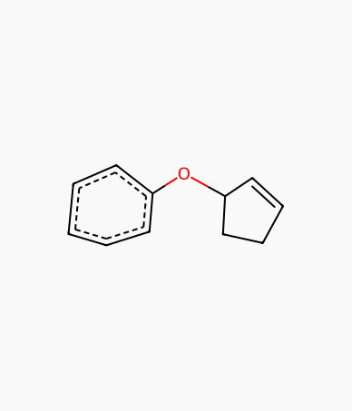 C1=CC(Oc2ccccc2)CC1